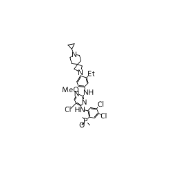 CCc1cc(Nc2ncc(Cl)c(Nc3cc(Cl)c(Cl)cc3P(C)(C)=O)n2)c(OC)cc1N1CC2(CCN(C3CC3)CC2)C1